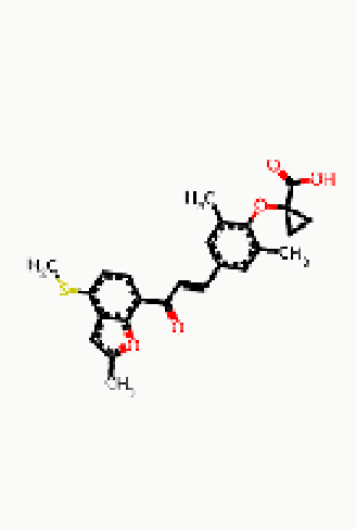 CSc1ccc(C(=O)/C=C/c2cc(C)c(OC3(C(=O)O)CC3)c(C)c2)c2oc(C)cc12